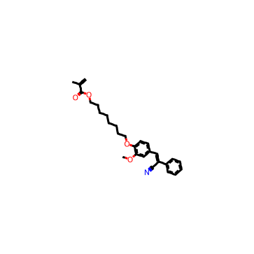 C=C(C)C(=O)OCCCCCCCCOc1ccc(/C=C(\C#N)c2ccccc2)cc1OC